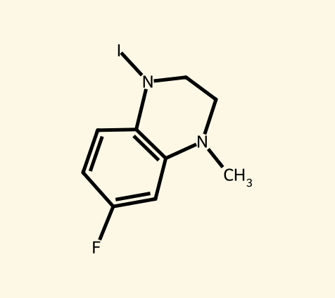 CN1CCN(I)c2ccc(F)cc21